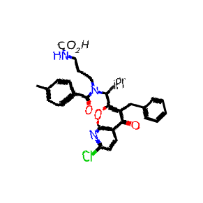 Cc1ccc(C(=O)N(CCCNC(=O)O)C(c2oc3nc(Cl)ccc3c(=O)c2Cc2ccccc2)C(C)C)cc1